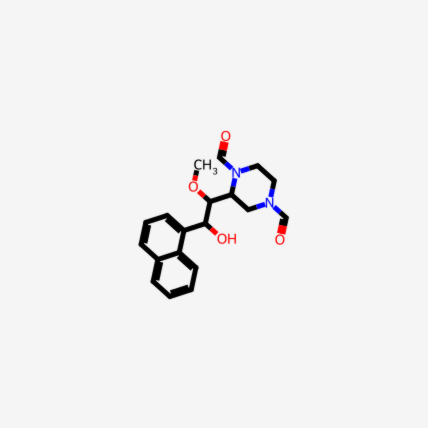 COC(C(O)c1cccc2ccccc12)C1CN(C=O)CCN1C=O